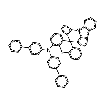 c1ccc(-c2ccc(N(c3ccc(-c4ccccc4)cc3)c3cccc4c3Sc3ccccc3C43c4ccccc4-n4c5ccccc5c5cccc3c54)cc2)cc1